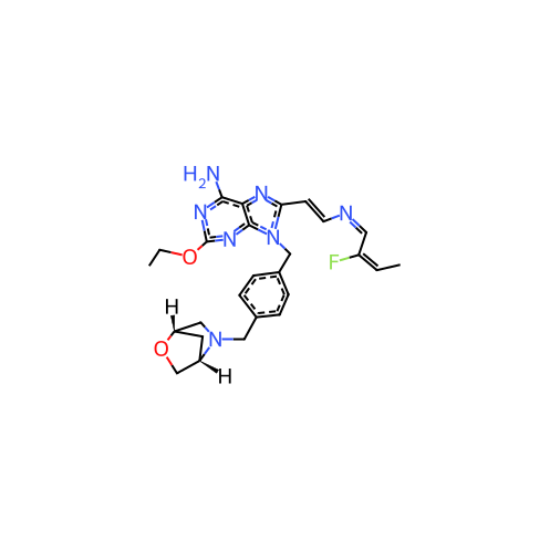 C\C=C(F)/C=N\C=C\c1nc2c(N)nc(OCC)nc2n1Cc1ccc(CN2C[C@@H]3C[C@H]2CO3)cc1